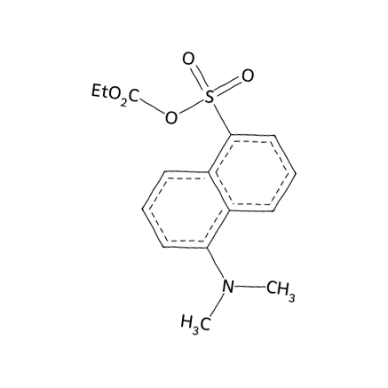 CCOC(=O)OS(=O)(=O)c1cccc2c(N(C)C)cccc12